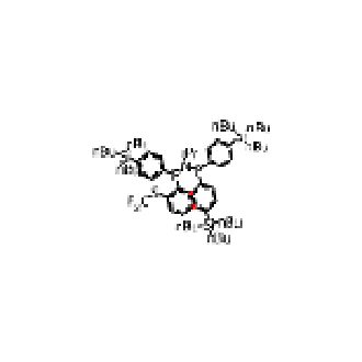 CCCC[Si](CCCC)(CCCC)c1ccc(P(c2ccc([Si](CCCC)(CCCC)CCCC)cc2)N(C(C)C)P(c2ccc([Si](CCCC)(CCCC)CCCC)cc2)c2ccccc2SC(F)(F)F)cc1